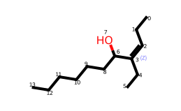 CC/C=C(/CC)C(O)CCCCCC